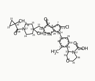 Cc1cc(-n2c(Cl)cc3c(=O)n(CC4(O)CCN(C(=O)C5(C)CC5)CC4)cnc32)ccc1C1COCCN1C(=O)O